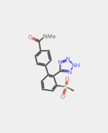 CNC(=O)c1ccc(-c2cccc(S(C)(=O)=O)c2-c2nn[nH]n2)cc1